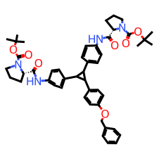 CC(C)(C)OC(=O)N1CCC[C@H]1C(=O)Nc1ccc(C2C(c3ccc(NC(=O)[C@@H]4CCCN4C(=O)OC(C)(C)C)cc3)C2c2ccc(OCc3ccccc3)cc2)cc1